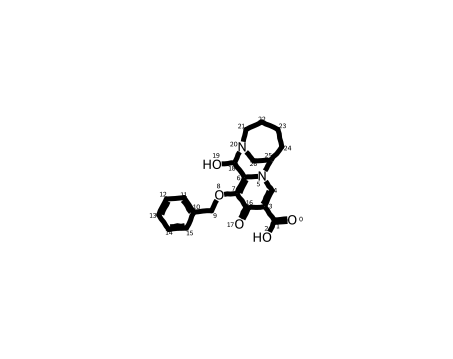 O=C(O)c1cn2c(c(OCc3ccccc3)c1=O)C(O)N1CCCCC2C1